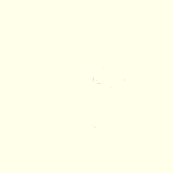 CCCCCCCCCCCCCC[C@@H](O)[C@@H](O)[C@H](CO[C@H]1OC(CO)[C@H](O)[C@@H](O)[C@@H]1O)NC(=O)CCCCCCCCCCN